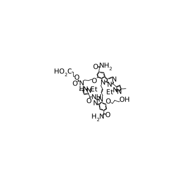 CCn1nc(C)cc1C(=O)Nc1nc2cc(C(N)=O)cc(OCCCO)c2n1CC=CCn1c2nc(-c3cc(C)nn3CC)ncc2c2cc(C(N)=O)cc(OCCCNC(=O)OCCC(=O)O)c21